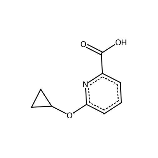 O=C(O)c1cccc(OC2CC2)n1